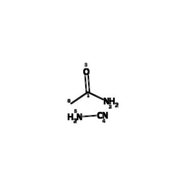 CC(N)=O.N#CN